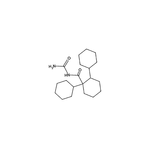 NC(=O)NC(=O)C1(C2CCCCC2)CCCCC1C1CCCCC1